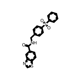 O=C(NCc1ccc(S(=O)(=O)c2ccccc2)cc1)c1ccc2scnc2c1